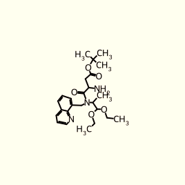 CCOC(OCC)C(C)N(Cc1cccc2cccnc12)C(=O)C(N)CC(=O)OC(C)(C)C